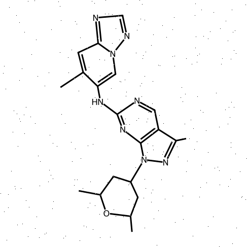 Cc1cc2ncnn2cc1Nc1ncc2c(C)nn(C3CC(C)OC(C)C3)c2n1